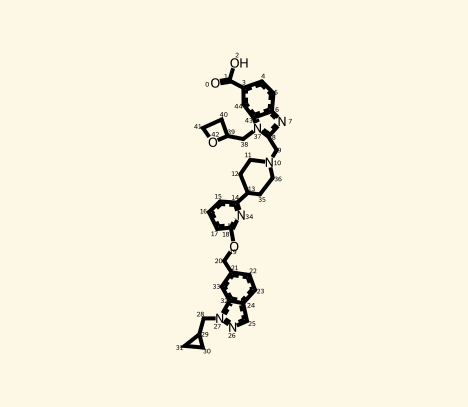 O=C(O)c1ccc2nc(CN3CCC(c4cccc(OCc5ccc6cnn(CC7CC7)c6c5)n4)CC3)n(CC3CCO3)c2c1